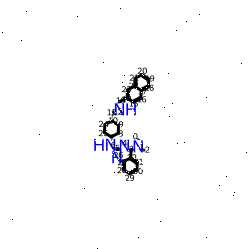 CN(C)c1nc(N[C@H]2CC[C@@H](CNCc3ccc4ccccc4c3)CC2)nc2ccccc12